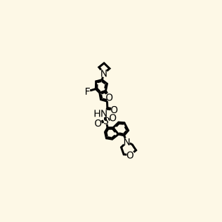 O=C(NS(=O)(=O)c1cccc2c(N3CCOCC3)cccc12)c1cc2c(F)cc(N3CCC3)cc2o1